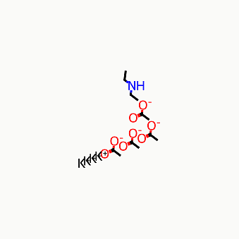 CC(=O)[O-].CC(=O)[O-].CC(=O)[O-].CC(=O)[O-].CCNCC.[K+].[K+].[K+].[K+]